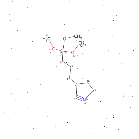 CO[Si](CCCC1C#[N+]CC1)(OC)OC